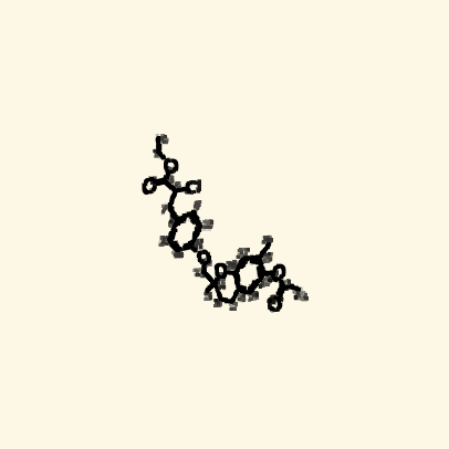 CCOC(=O)C(Cl)Cc1ccc(OCC2(C)CCc3cc(OC(C)=O)c(C)cc3O2)cc1